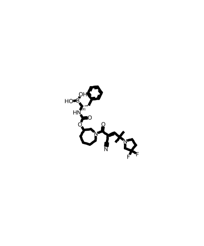 CC(C)(C=C(C#N)C(=O)N1CCCCC(OC(=O)N[C@@H](Cc2ccccc2)B(O)O)C1)N1CCC(F)(F)C1